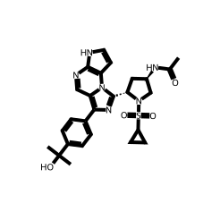 CC(=O)N[C@@H]1C[C@@H](c2nc(-c3ccc(C(C)(C)O)cc3)c3cnc4[nH]ccc4n23)N(S(=O)(=O)C2CC2)C1